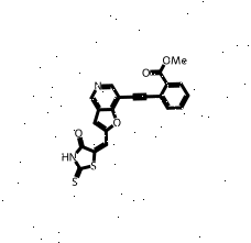 COC(=O)c1ccccc1C#Cc1cncc2cc(C=C3SC(=S)NC3=O)oc12